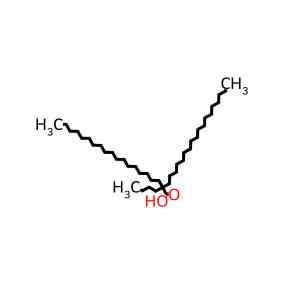 CCCCCCCCCCCCCCCCCCC(CCCC)(CCCCCCCCCCCCCCCCCC)C(=O)O